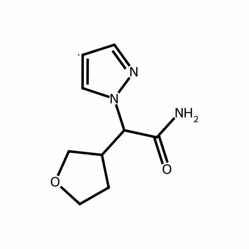 NC(=O)C(C1CCOC1)n1c[c]cn1